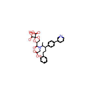 CC(C(CCc1ccccc1)c1ccc(-c2cccnc2)cc1)N(CC(=O)O)C(=O)C1COC(C(=O)O)(C(=O)O)O1